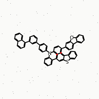 c1cc(-c2ccc(N(c3ccc(-c4ccc5c(c4)oc4ccccc45)cc3)c3ccccc3-c3ccc4c(c3)sc3ccccc34)cc2)cc(-c2cccc3ccccc23)c1